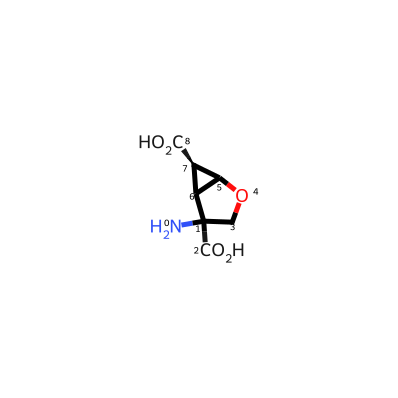 NC1(C(=O)O)COC2C1[C@H]2C(=O)O